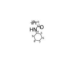 C[C](C)C(=O)NC1CCCCC1